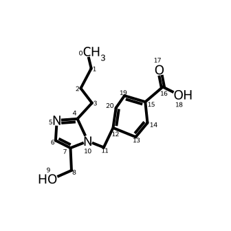 CCCCc1ncc(CO)n1Cc1ccc(C(=O)O)cc1